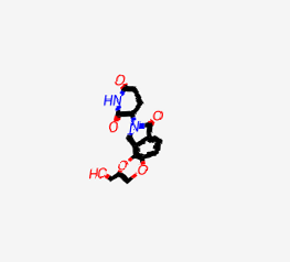 O=C1CCC(N2Cc3c(ccc4c3OC(CO)CO4)C2=O)C(=O)N1